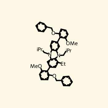 CCc1cc(-c2c(OC)cccc2OCc2ccccc2)cc2c1N(CC(C)C)c1cc(-c3c(OC)cccc3OCc3ccccc3)ccc1N2CC(C)C